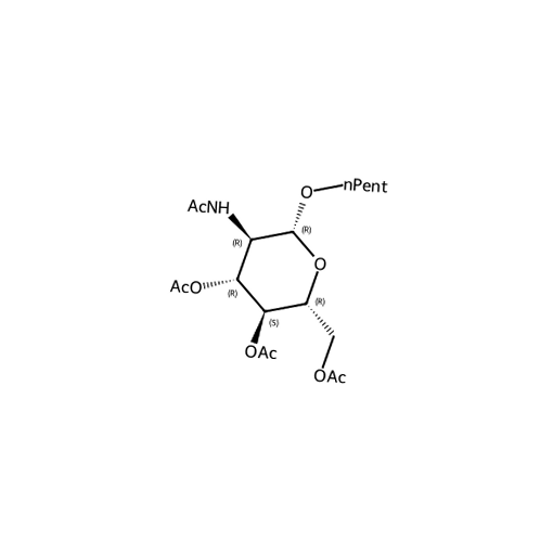 CCCCCO[C@@H]1O[C@H](COC(C)=O)[C@@H](OC(C)=O)[C@H](OC(C)=O)[C@H]1NC(C)=O